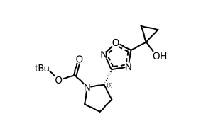 CC(C)(C)OC(=O)N1CCC[C@H]1c1noc(C2(O)CC2)n1